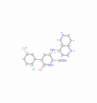 N#Cc1[nH]c(=O)c(-c2cc(Cl)ccc2F)cc1Nc1ccnc2ccncc12